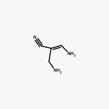 N#CC(=CN)CN